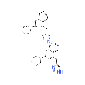 C1=CC(c2cc(Cc3c[nH]cn3)c3ccccc3c2)CCC1.C1=CC(c2cc(Cc3c[nH]cn3)c3ccccc3c2)CCC1